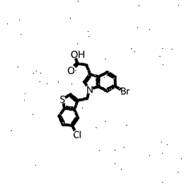 O=C(O)Cc1cn(Cc2csc3ccc(Cl)cc23)c2cc(Br)ccc12